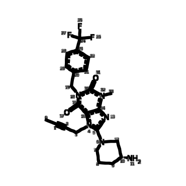 CC#CCn1c(N2CCC[C@@H](N)C2)nc2c1c(=O)n(Cc1ccc(C(F)(F)F)cc1)c(=O)n2C